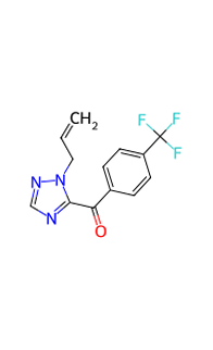 C=CCn1ncnc1C(=O)c1ccc(C(F)(F)F)cc1